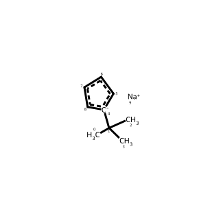 CC(C)(C)[c-]1cccc1.[Na+]